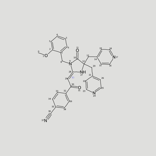 COc1ccccc1CN1C(=O)C(Cc2ccncc2)(Cc2ccncc2)N/C1=C\C(=O)c1ccc(C#N)cc1